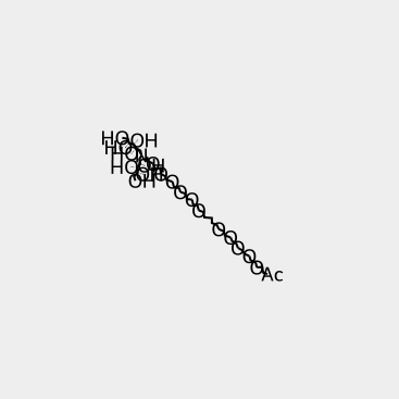 CC(=O)CCOCCOCCOCCOCCOCCCCCOCCOCCOCCOCCOCCOCCN(C[C@H](O)[C@@H](O)[C@H](O)CO)C[C@H](O)[C@@H](O)[C@H](O)CO